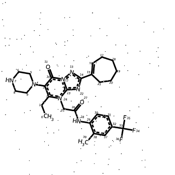 CCc1c(N2CCNCC2)c(=O)n2nc(C3=CCCCCC3)nc2n1CC(=O)Nc1ccc(C(F)(F)F)cc1C